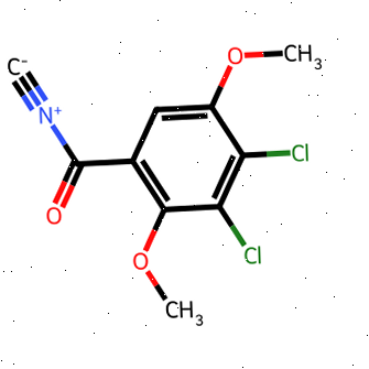 [C-]#[N+]C(=O)c1cc(OC)c(Cl)c(Cl)c1OC